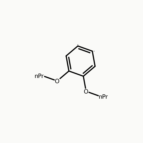 CCCOc1c[c][c]cc1OCCC